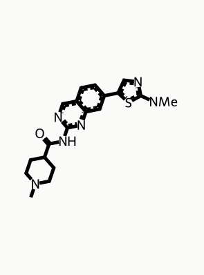 CNc1ncc(-c2ccc3cnc(NC(=O)C4CCN(C)CC4)nc3c2)s1